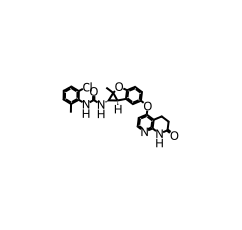 Cc1cccc(Cl)c1NC(=O)N[C@H]1[C@@H]2c3cc(Oc4ccnc5c4CCC(=O)N5)ccc3OC12C